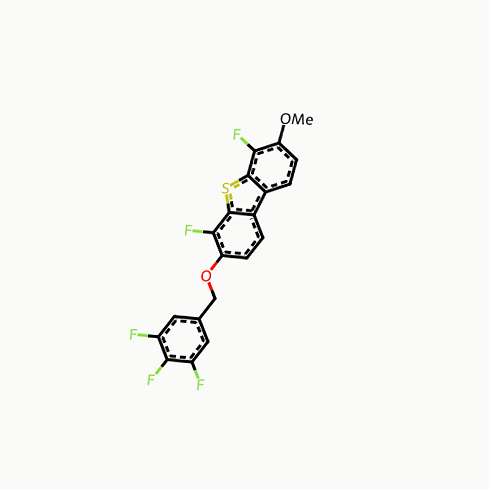 COc1ccc2c(sc3c(F)c(OCc4cc(F)c(F)c(F)c4)ccc32)c1F